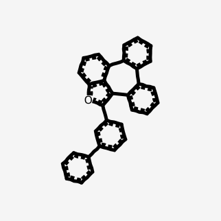 c1ccc(-c2cccc(-c3oc4cccc5c4c3-c3ccccc3-c3ccccc3-5)c2)cc1